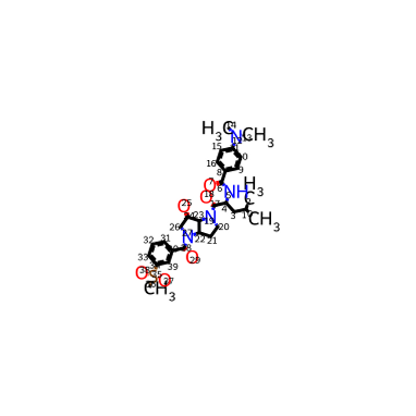 CC(C)CC(NC(=O)c1ccc(N(C)C)cc1)C(=O)N1CCC2C1C(=O)CN2C(=O)c1cccc(S(C)(=O)=O)c1